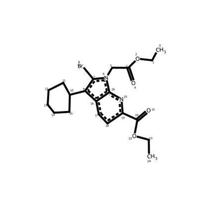 CCOC(=O)Cn1c(Br)c(C2CCCCC2)c2ccc(C(=O)OCC)nc21